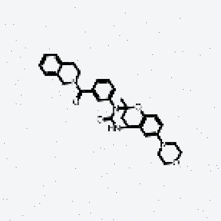 CC12CC(NC(=O)N1c1cccc(C(=O)N3CCc4ccccc4C3)c1)c1cc(N3CCOCC3)ccc1O2